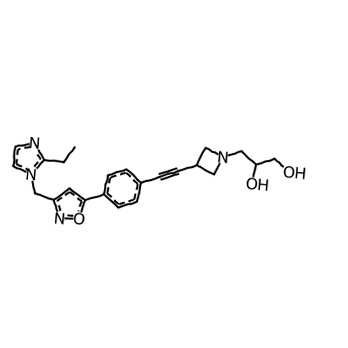 CCc1nccn1Cc1cc(-c2ccc(C#CC3CN(CC(O)CO)C3)cc2)on1